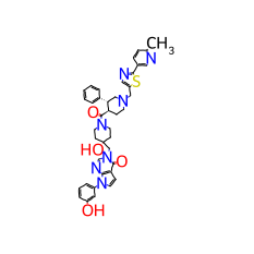 Cc1ccc(-c2ncc(CN3CC[C@@H](C(=O)N4CCC(O)(Cn5cnc6c(ccn6-c6cccc(O)c6)c5=O)CC4)[C@H](c4ccccc4)C3)s2)cn1